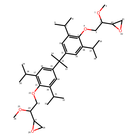 COC(COc1c(C(C)C)cc(C(C)(C)c2cc(C(C)C)c(OCC(OC)C3CO3)c(C(C)C)c2)cc1C(C)C)C1CO1